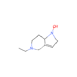 CCN1CCC2C(=CCN2O)C1